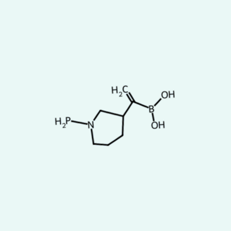 C=C(B(O)O)C1CCCN(P)C1